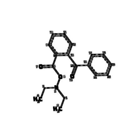 CCN(CC)OC(=O)c1ccccc1C(=O)c1ccccc1